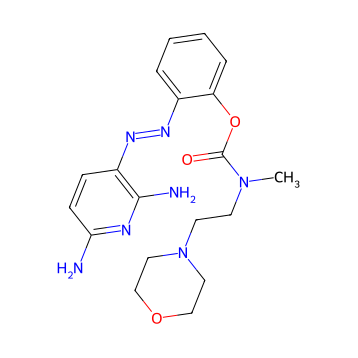 CN(CCN1CCOCC1)C(=O)Oc1ccccc1/N=N/c1ccc(N)nc1N